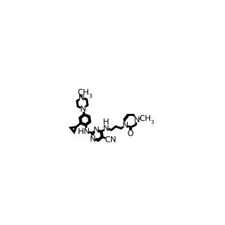 CN1CCN(c2ccc(Nc3ncc(C#N)c(NCCCN4C=CCN(C)CC4=O)n3)c(C3CC3)c2)CC1